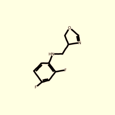 Fc1ccc(NCC2CO[C]=N2)c(F)c1